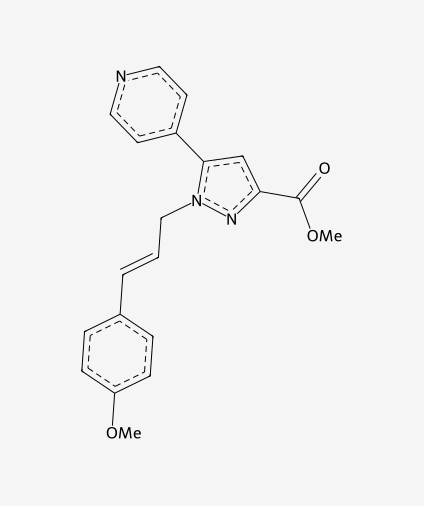 COC(=O)c1cc(-c2ccncc2)n(CC=Cc2ccc(OC)cc2)n1